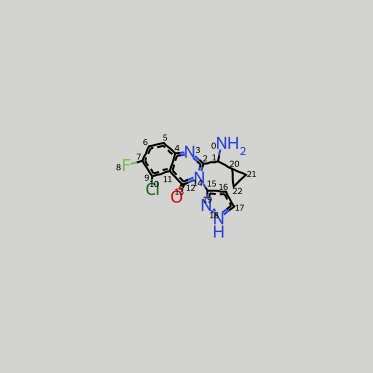 NC(c1nc2ccc(F)c(Cl)c2c(=O)n1-c1cc[nH]n1)C1CC1